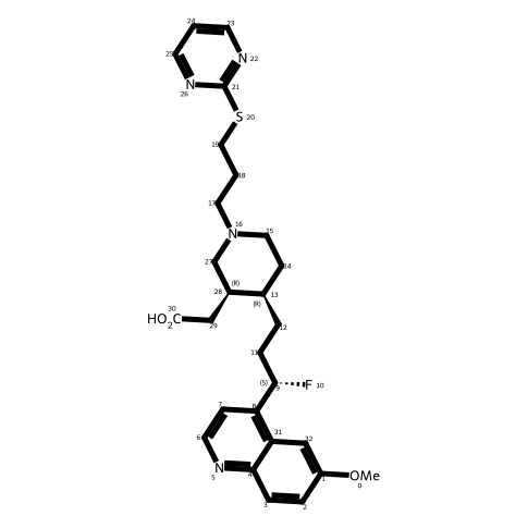 COc1ccc2nccc([C@@H](F)CC[C@@H]3CCN(CCCSc4ncccn4)C[C@@H]3CC(=O)O)c2c1